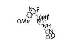 COc1ccc2ncc(F)c(CCN3CCC(NCc4cnc5c(c4)OCCO5)CC3)c2c1.Cl.Cl